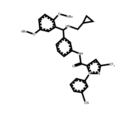 CCCCOc1ccc(OCCCC)c(C(NCC2CC2)c2cccc(NC(=O)c3cc(C(F)(F)F)nn3-c3cccc(C#N)c3)c2)c1